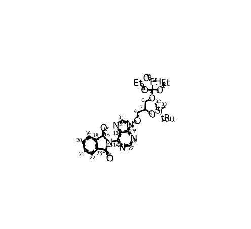 CCOC(OCC)(OCC(COn1cnc2c(N3C(=O)c4ccccc4C3=O)ncnc21)O[Si](C)(C)C(C)(C)C)[PH2]=O